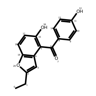 CCc1cc2c(C(=O)c3ccc(O)cc3)c(O)ccc2o1